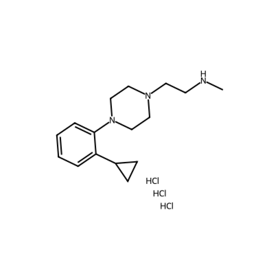 CNCCN1CCN(c2ccccc2C2CC2)CC1.Cl.Cl.Cl